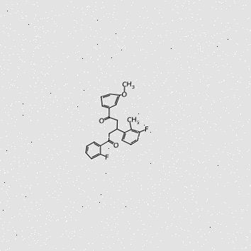 COc1cccc(C(=O)CC(CC(=O)c2ccccc2F)c2cccc(F)c2C)c1